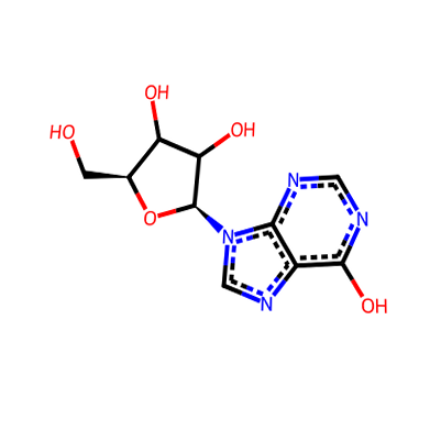 OC[C@@H]1O[C@H](n2cnc3c(O)ncnc32)C(O)C1O